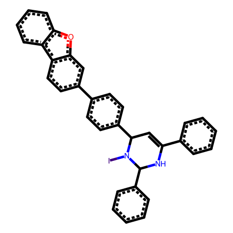 IN1C(c2ccc(-c3ccc4c(c3)oc3ccccc34)cc2)C=C(c2ccccc2)NC1c1ccccc1